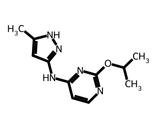 Cc1cc(Nc2ccnc(OC(C)C)n2)n[nH]1